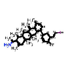 C=C(N)C1=C(C)C[C@@]2(C)C[C@@]3(C)Cc4c(C5C=CC(CC)C(CCI)C5)ccc(C)c4C(=C)C3=C(C)C2C1=C